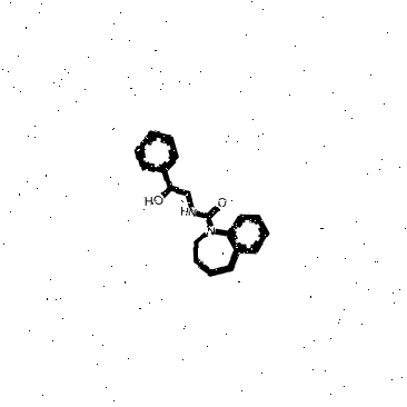 O=C(NCC(O)c1ccccc1)N1CCCCc2ccccc21